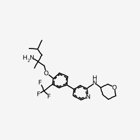 CC(C)CC(C)(N)COc1ccc(-c2ccnc(NC3CCCOC3)c2)cc1C(F)(F)F